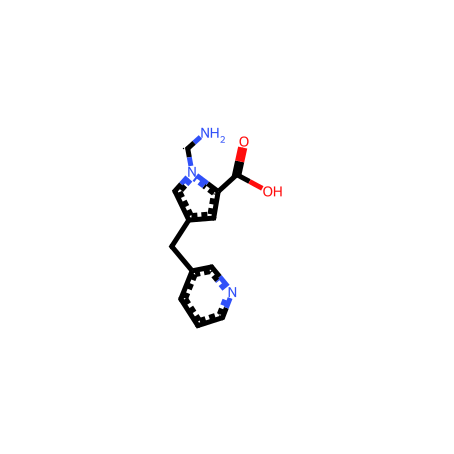 N[CH]n1cc(Cc2cccnc2)cc1C(=O)O